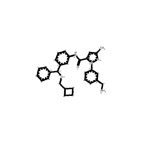 Cc1cc(C(=O)Nc2cccc(C(OCC3CCC3)c3ccccc3)c2)n(-c2cccc(CN)c2)n1